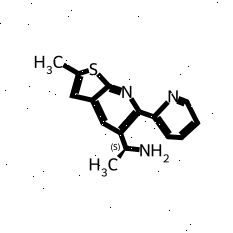 Cc1cc2cc([C@H](C)N)c(-c3ccccn3)nc2s1